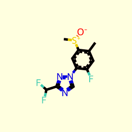 Cc1cc(F)c(-n2cnc(C(F)F)n2)cc1[S+](C)[O-]